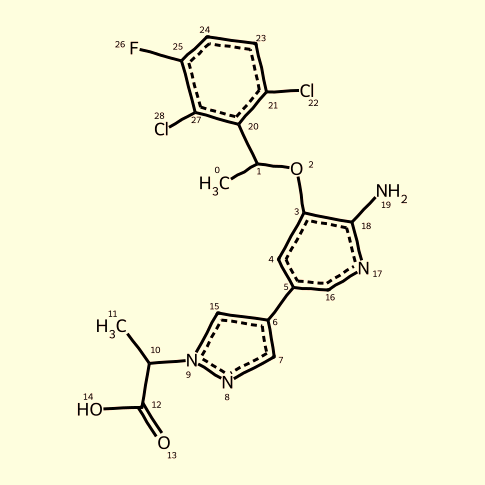 CC(Oc1cc(-c2cnn(C(C)C(=O)O)c2)cnc1N)c1c(Cl)ccc(F)c1Cl